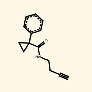 C#CCCNC(=O)C1(c2ccccc2)CC1